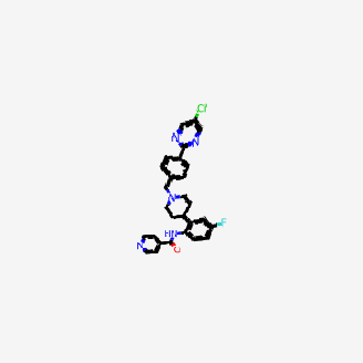 O=C(Nc1ccc(F)cc1C1CCN(Cc2ccc(-c3ncc(Cl)cn3)cc2)CC1)c1ccncc1